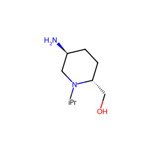 CC(C)N1C[C@@H](N)CC[C@@H]1CO